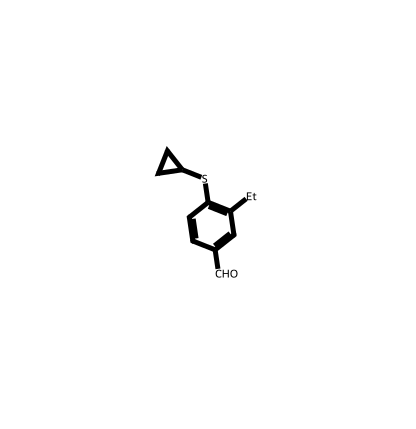 CCc1cc(C=O)ccc1SC1CC1